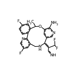 CC1Oc2cc(cnc2N)/C(=C(/C=N)C(F)F)NCc2cc(F)cnc2-c2ccc(F)cc21